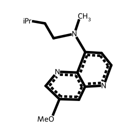 COc1cnc2c(N(C)CCC(C)C)ccnc2c1